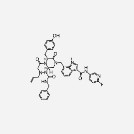 C=CCN1CC(=O)N2[C@@H](Cc3ccc(O)cc3)C(=O)N(Cc3cccc4c(C(=O)Nc5ccc(F)nc5)cn(C)c34)C[C@@H]2N1C(=O)NCc1ccccc1